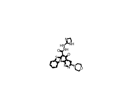 O=C(NNC1=NCCN1)c1c(=O)c2cc(N3CCOCC3)nnc2n2c1sc1ccccc12